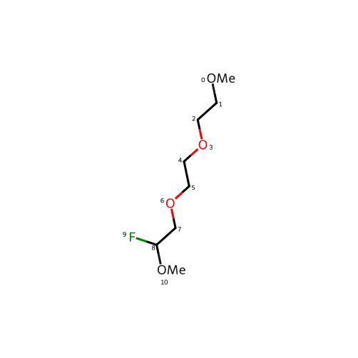 COCCOCCOCC(F)OC